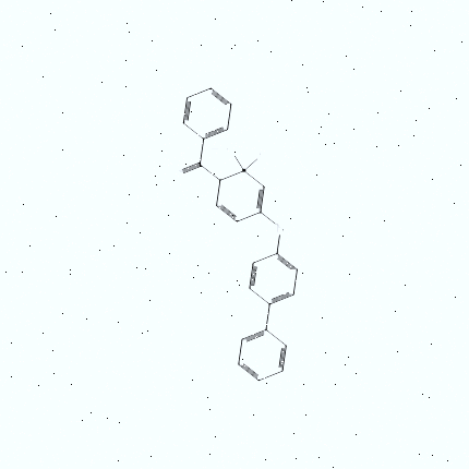 CC1(Cl)C=C(Nc2ccc(-c3ccccc3)cc2)C=CC1C(=O)c1ccccc1